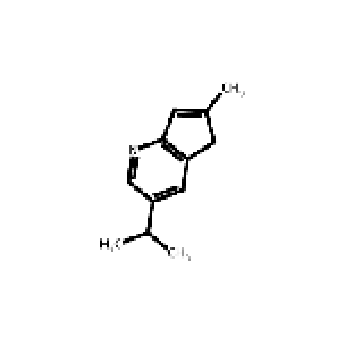 CC1=Cc2ncc(C(C)C)cc2C1